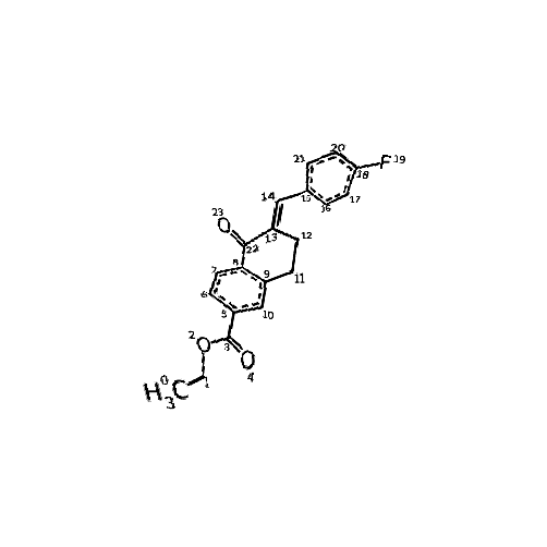 CCOC(=O)c1ccc2c(c1)CCC(=Cc1ccc(F)cc1)C2=O